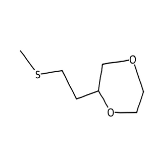 CSCCC1COCCO1